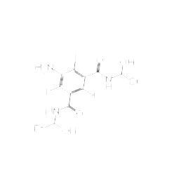 CCC(O)NC(=O)c1c(I)c(N)c(I)c(C(=O)NC(O)CC)c1I